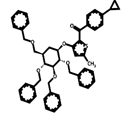 Cc1cc(O[C@@H]2C[C@H](COCc3ccccc3)[C@@H](OCc3ccccc3)[C@H](OCc3ccccc3)[C@H]2OCc2ccccc2)c(C(=O)c2ccc(C3CC3)cc2)s1